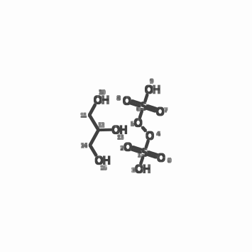 O=S(=O)(O)OOS(=O)(=O)O.OCC(O)CO